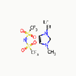 CCN1C=CN(C)C1.O=S(=O)([N-]S(=O)(=O)C(F)(F)F)C(F)(F)F.[Li+]